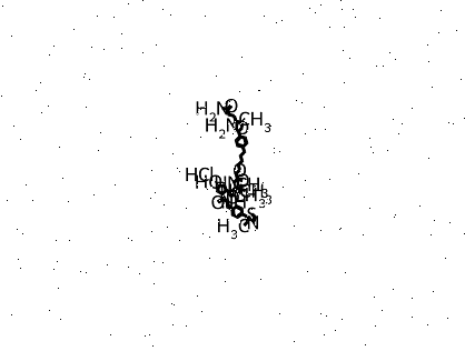 Cc1ncsc1-c1ccc(CNC(=O)[C@@H]2C[C@@H](O)CN2C(=O)[C@@H](NC(=O)COCCCCc2ccc(CO[C@H](C)[C@@H](N)CCC(N)=O)cc2)C(C)(C)C)cc1.Cl